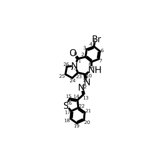 O=C1c2cc(Br)ccc2N/C(=N/N=Cc2csc3ccccc23)C2CCCN12